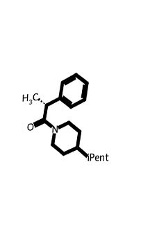 CCCC(C)C1CCN(C(=O)[C@H](C)c2ccccc2)CC1